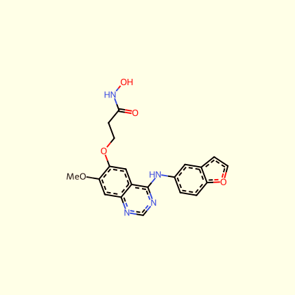 COc1cc2ncnc(Nc3ccc4occc4c3)c2cc1OCCC(=O)NO